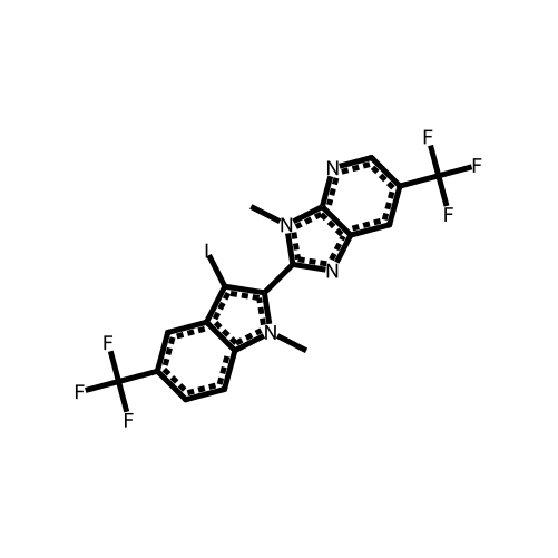 Cn1c(-c2nc3cc(C(F)(F)F)cnc3n2C)c(I)c2cc(C(F)(F)F)ccc21